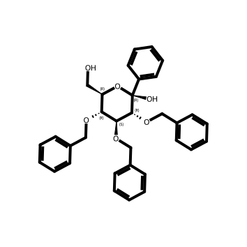 OC[C@H]1O[C@](O)(c2ccccc2)[C@H](OCc2ccccc2)[C@@H](OCc2ccccc2)[C@@H]1OCc1ccccc1